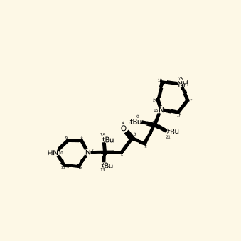 CC(C)(C)C(CC(=O)CC(N1CCNCC1)(C(C)(C)C)C(C)(C)C)(N1CCNCC1)C(C)(C)C